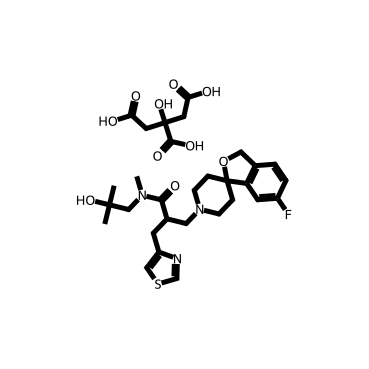 CN(CC(C)(C)O)C(=O)C(Cc1cscn1)CN1CCC2(CC1)OCc1ccc(F)cc12.O=C(O)CC(O)(CC(=O)O)C(=O)O